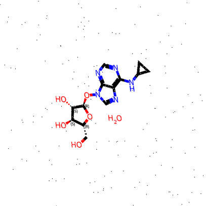 O.OC[C@H]1O[C@H](On2cnc3c(NC4CC4)ncnc32)[C@@H](O)[C@@H]1O